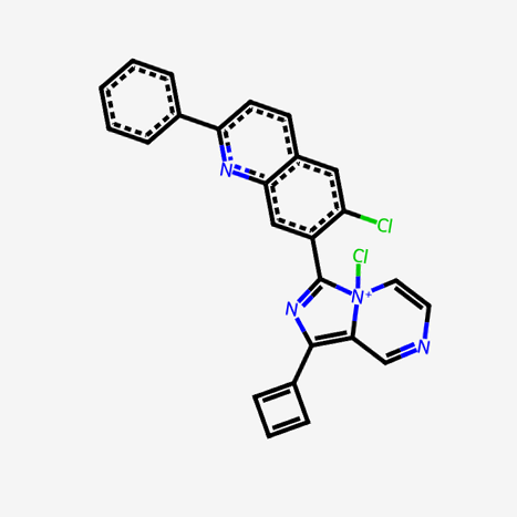 Clc1cc2ccc(-c3ccccc3)nc2cc1C1=NC(C2=CC=C2)=C2C=NC=C[N+]12Cl